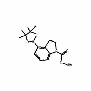 CC(C)(C)OC(=O)N1CCc2c(B3OC(C)(C)C(C)(C)O3)cccc21